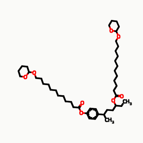 CCC(CCC(C)c1ccc(OC(=O)CCCCCCCCCCCOC2CCCCO2)cc1)OC(=O)CCCCCCCCCCCOC1CCCCO1